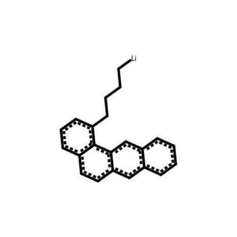 [Li][CH2]CCCc1cccc2ccc3cc4ccccc4cc3c12